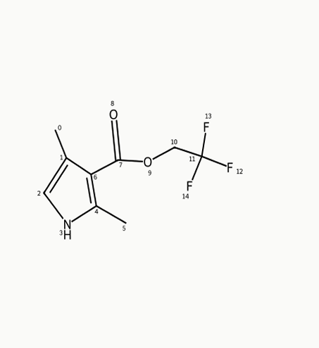 Cc1c[nH]c(C)c1C(=O)OCC(F)(F)F